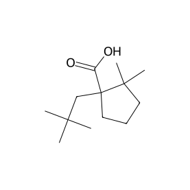 CC(C)(C)CC1(C(=O)O)CCCC1(C)C